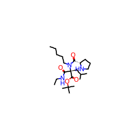 CCCCCN(C(=O)[C@@H]1CCCN1)[C@@](CC(C)C)(C(=O)NCC)C(=O)OC(C)(C)C